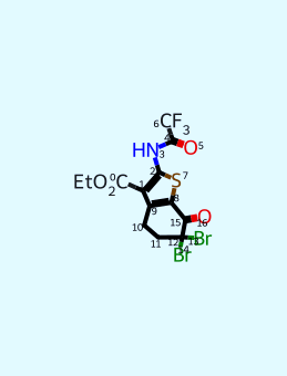 CCOC(=O)c1c(NC(=O)C(F)(F)F)sc2c1CCC(Br)(Br)C2=O